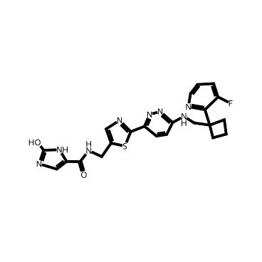 O=C(NCc1cnc(-c2ccc(NCC3(c4ncccc4F)CCC3)nn2)s1)c1cnc(O)[nH]1